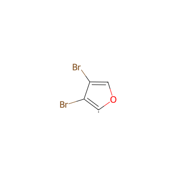 Brc1[c]occ1Br